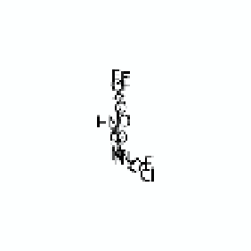 O=C(CO[C@H]1C[C@@H](OC(F)(F)F)C1)N[C@@H]1CC[C@@H](c2cn(-c3ccc(Cl)c(F)c3)nn2)OC1